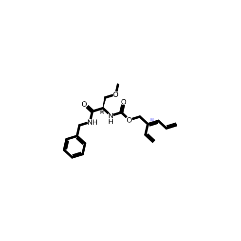 C=C/C=C(\C=C)COC(=O)N[C@H](COC)C(=O)NCc1ccccc1